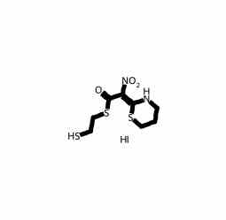 I.O=C(SCCS)C(=C1NCCCS1)[N+](=O)[O-]